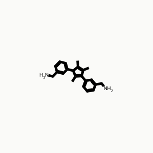 CC1=C(C)C(c2cccc(CN)c2)C(C)=C1c1cccc(CN)c1